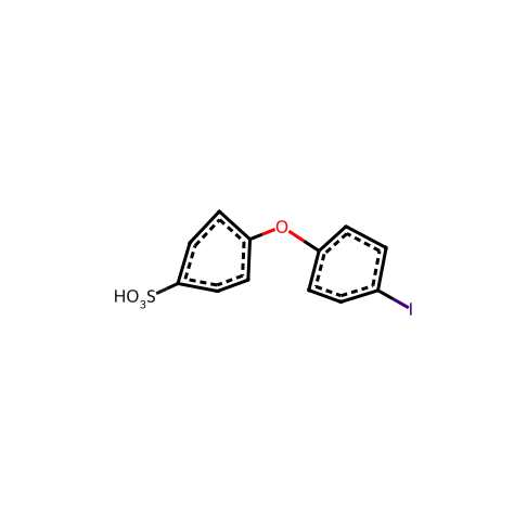 O=S(=O)(O)c1ccc(Oc2ccc(I)cc2)cc1